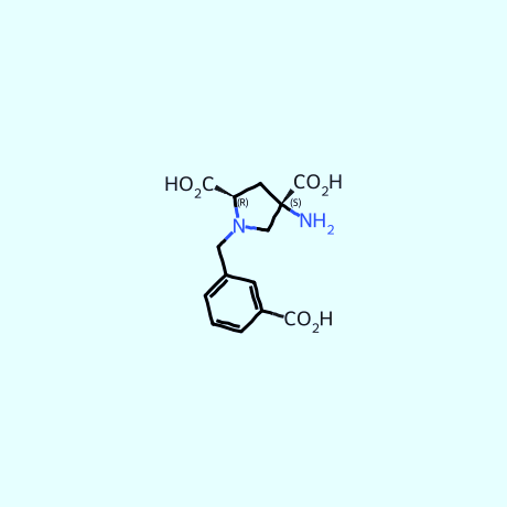 N[C@@]1(C(=O)O)C[C@H](C(=O)O)N(Cc2cccc(C(=O)O)c2)C1